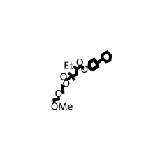 CCC(CC(C)(C)C(=O)OCCOCCOC)C(=O)Oc1ccc(C2CCCCC2)cc1